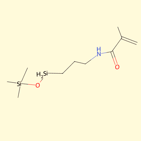 C=C(C)C(=O)NCCC[SiH2]O[Si](C)(C)C